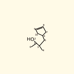 CC(O)C(C)CC1CC=CC1